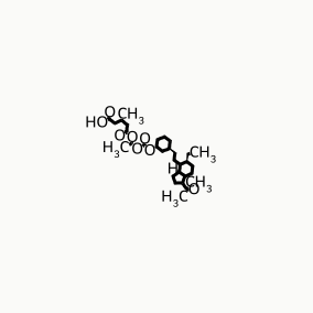 CC[C@H]1CCC2(C)C(C(C)=O)CC[C@H]2C1CC[C@@H]1CCC[C@@H](OC(=O)OC(C)OC(=O)CC(C)CC(=O)O)C1